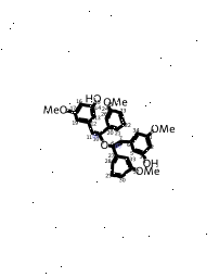 COc1cc(O)cc(/C=C(/O/C(=C/c2cc(O)cc(OC)c2)c2cccc(OC)c2)c2cccc(OC)c2)c1